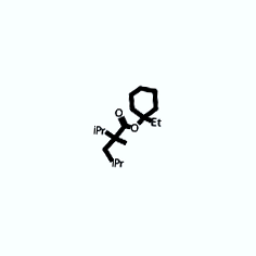 CCC1(OC(=O)C(C)(CC(C)C)C(C)C)CCCCC1